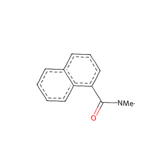 C[N]C(=O)c1cccc2ccccc12